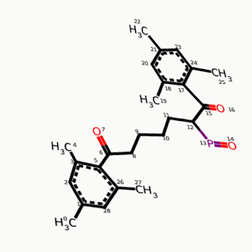 Cc1cc(C)c(C(=O)CCCCC(P=O)C(=O)c2c(C)cc(C)cc2C)c(C)c1